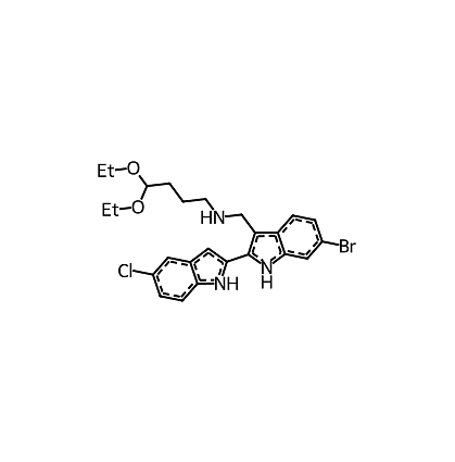 CCOC(CCCNCc1c(-c2cc3cc(Cl)ccc3[nH]2)[nH]c2cc(Br)ccc12)OCC